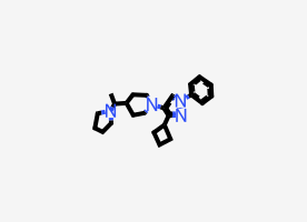 CC(C1CCN(c2cn(-c3ccccc3)nc2C2CCC2)CC1)N1CCCC1